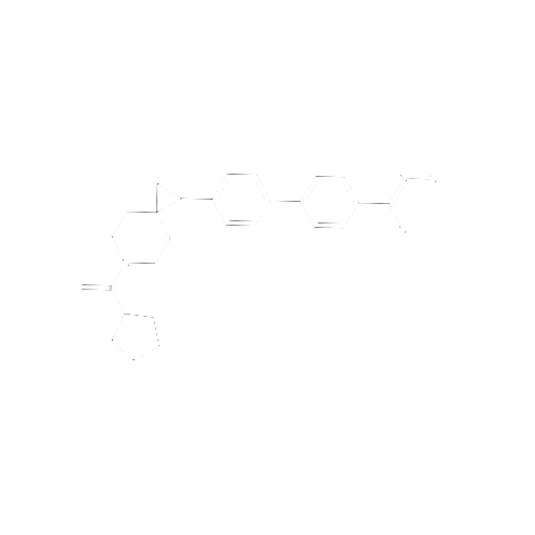 C=C(C1CCCC1)N1CCC2(CC1)CC2c1ccc(-c2ccc(/C(N)=N/N)cc2)cc1